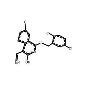 N=Cc1c(O)nc(SCc2cc(Cl)ccc2Cl)c2cc(F)ccc12